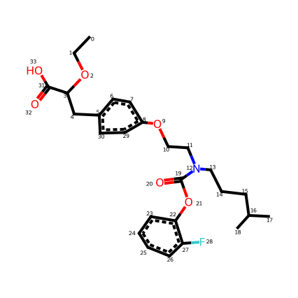 CCOC(Cc1ccc(OCCN(CCCC(C)C)C(=O)Oc2ccccc2F)cc1)C(=O)O